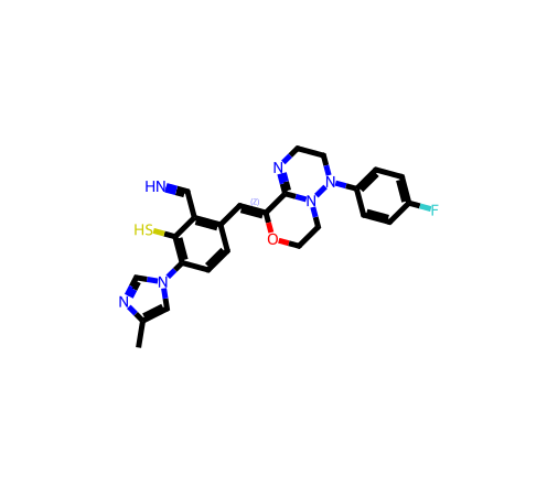 Cc1cn(-c2ccc(/C=C3\OCCN4C3=NCCN4c3ccc(F)cc3)c(C=N)c2S)cn1